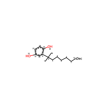 CCCCCCCCCCCCCCCC(C)(C)c1cc(O)ccc1O